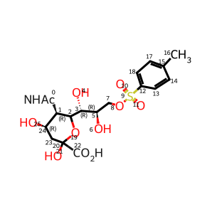 CC(=O)N[C@H]1C([C@H](O)[C@H](O)COS(=O)(=O)c2ccc(C)cc2)OC(O)(C(=O)O)C[C@H]1O